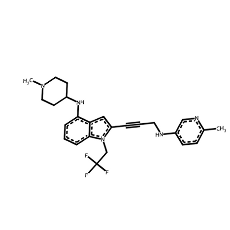 Cc1ccc(NCC#Cc2cc3c(NC4CCN(C)CC4)cccc3n2CC(F)(F)F)cn1